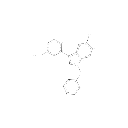 COc1cccc(-c2cn(Sc3ccccc3)c3ccc(O)cc23)c1